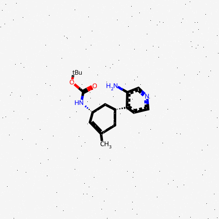 CC1=C[C@H](NC(=O)OC(C)(C)C)C[C@H](c2ccncc2N)C1